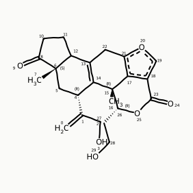 C=C(CO)[C@@H]1C[C@]2(C)C(=O)CCC2C2=C1[C@]1(C)c3c(coc3C2)C(=O)O[C@@H]1CCO